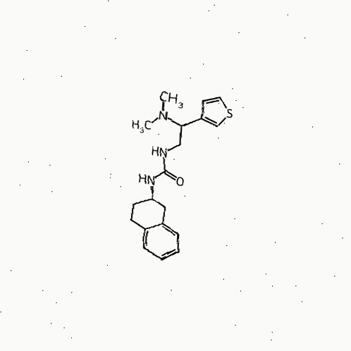 CN(C)C(CNC(=O)N[C@@H]1CCc2ccccc2C1)c1ccsc1